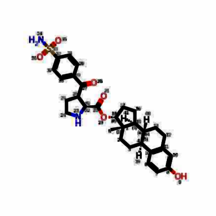 C[C@]12CC[C@@H]3c4ccc(O)cc4CC[C@H]3[C@@H]1CC[C@H]2OC(=O)[C@H]1NCCC1C(=O)c1ccc(S(N)(=O)=O)cc1